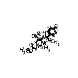 CCC(NC1=C([N+](=O)[O-])CN(CC(=O)OC)CN1C)c1ccc(Cl)nc1